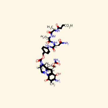 CO[C@@]12[C@H](COC(N)=O)C3=C(C(=O)C(C)=C(N)C3O)N1C[C@H]1[C@@H]2N1C(=O)OCc1ccc(NC(=O)[C@H](CC(N)=O)NC(=O)[C@H](C)NC(=O)[C@H](C)NC(=O)CCC(=O)O)cc1